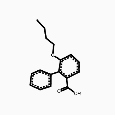 CCCCOc1cccc(C(=O)O)c1-c1ccccc1